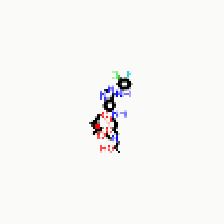 C[C@@H](O)CN(C/C=C/C(=O)Nc1cc2c(Nc3ccc(F)c(Cl)c3)ncnc2cc1OCC1CC1)CC(=O)OC(C)(C)C